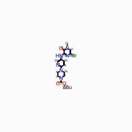 CCCCOC(=O)N1CCN(c2ccc(Nc3nc(Br)cn(C)c3=O)cn2)CC1